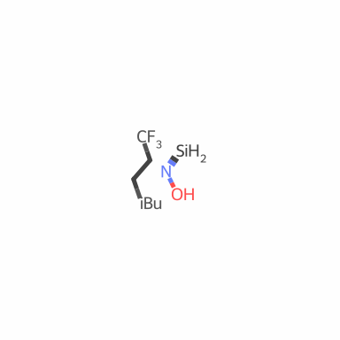 CCC(C)CCC(F)(F)F.ON=[SiH2]